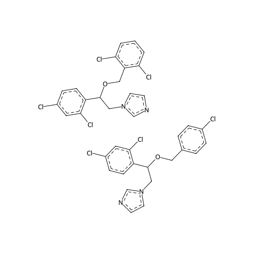 Clc1ccc(C(Cn2ccnc2)OCc2c(Cl)cccc2Cl)c(Cl)c1.Clc1ccc(COC(Cn2ccnc2)c2ccc(Cl)cc2Cl)cc1